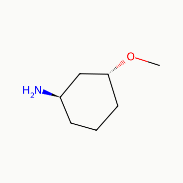 CO[C@@H]1CCC[C@@H](N)C1